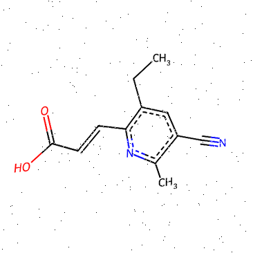 CCc1cc(C#N)c(C)nc1C=CC(=O)O